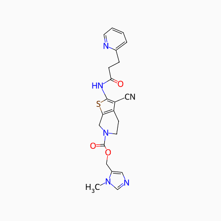 Cn1cncc1COC(=O)N1CCc2c(sc(NC(=O)CCc3ccccn3)c2C#N)C1